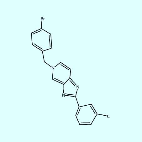 Clc1cccc(-c2nc3ccn(Cc4ccc(Br)cc4)cc-3n2)c1